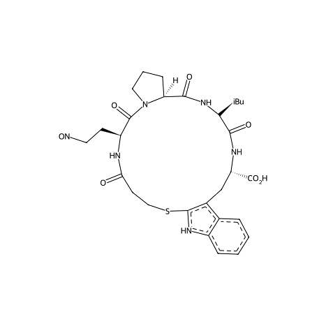 CC[C@H](C)C1NC(=O)[C@@H]2CCCN2C(=O)[C@H](CCN=O)NC(=O)CCSc2[nH]c3ccccc3c2C[C@@H](C(=O)O)NC1=O